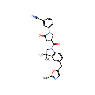 Cc1ncc(Cc2ccc3c(c2)C(C)(C)CN3C(=O)C2CC(=O)N(c3cccc(C#N)c3)C2)o1